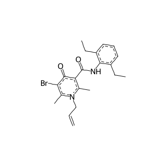 C=CCn1c(C)c(Br)c(=O)c(C(=O)Nc2c(CC)cccc2CC)c1C